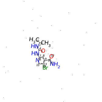 CC(C)NC(=O)Nc1cc(C(N)=O)c(Br)cn1